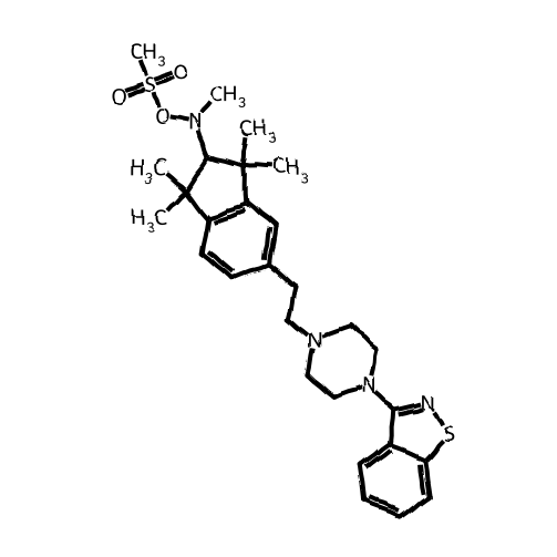 CN(OS(C)(=O)=O)C1C(C)(C)c2ccc(CCN3CCN(c4nsc5ccccc45)CC3)cc2C1(C)C